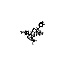 C[C@@H](C1CCC(NCc2ccccc2)(OC(=O)C(F)(F)F)CC1)[C@H](NC(=O)OC(C)(C)C)C(=O)N1CC[C@H](F)C1